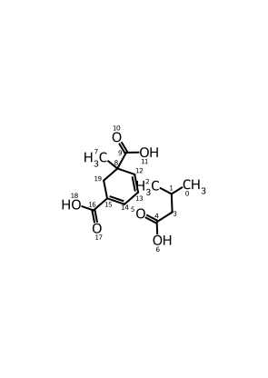 CC(C)CC(=O)O.CC1(C(=O)O)C=CC=C(C(=O)O)C1